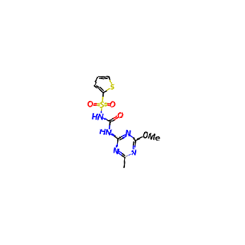 COc1nc(C)nc(NC(=O)NS(=O)(=O)c2cccs2)n1